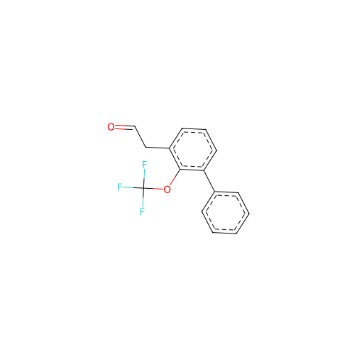 O=CCc1cccc(-c2ccccc2)c1OC(F)(F)F